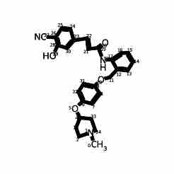 CN1CCC(Oc2ccc(OCc3ccccc3NC(=O)C=Cc3ccc(C#N)c(O)c3)cc2)CC1